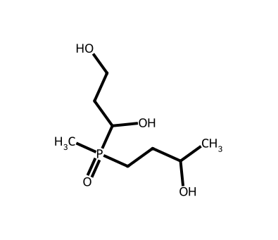 CC(O)CCP(C)(=O)C(O)CCO